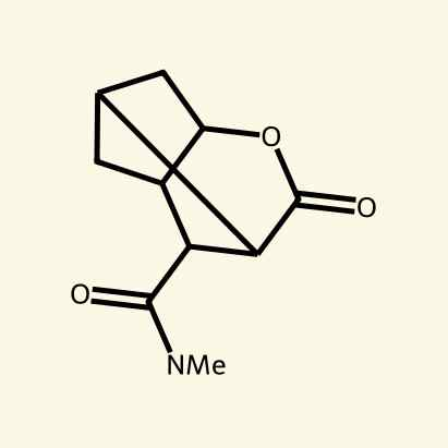 CNC(=O)C1C2CC3CC2OC(=O)C31